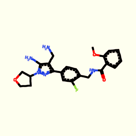 COc1ccccc1C(=O)NCc1ccc(-c2nn(C3CCOC3)c(N)c2CN)cc1F